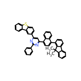 CC1(C)c2ccccc2-c2cccc(-c3ccc(-c4cc(-c5ccc6sc7ccccc7c6c5)nc(-c5ccccc5)n4)c4ccccc34)c21